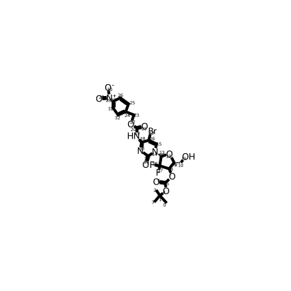 CC(C)(C)OC(=O)OC1[C@@H](CO)O[C@@H](n2cc(Br)c(NC(=O)OCc3ccc([N+](=O)[O-])cc3)nc2=O)C1(F)F